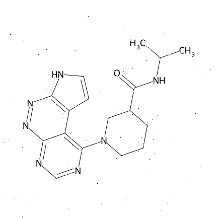 CC(C)NC(=O)C1CCCN(c2ncnc3nnc4[nH]ccc4c23)C1